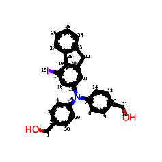 OCc1ccc(N(c2ccc(CO)cc2)c2cc(I)c3c(c2)Cc2ccccc2-3)cc1